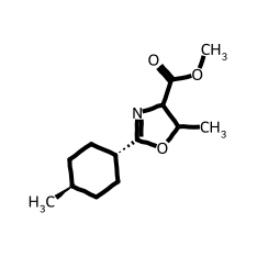 COC(=O)C1N=C([C@H]2CC[C@H](C)CC2)OC1C